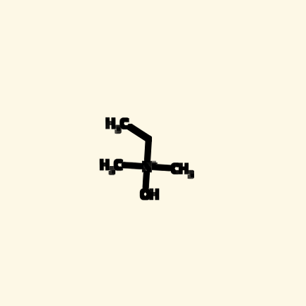 CC[N+](C)(C)O